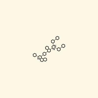 c1ccc(-c2cccc(-c3cc(-c4ccc(-c5ccc(-c6cc(-c7ccccc7)nc7ccc8ccccc8c67)cc5)c5ccccc45)nc(-c4cccc(-c5ccccc5)c4)n3)c2)cc1